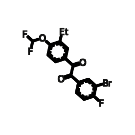 CCc1cc(C(=O)C(=O)c2ccc(F)c(Br)c2)ccc1OC(F)F